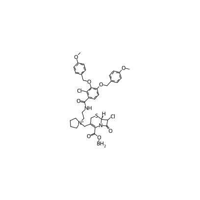 BOC(=O)C1=C(C[N+]2(CCNC(=O)c3ccc(OCc4ccc(OC)cc4)c(OCc4ccc(OC)cc4)c3Cl)CCCC2)CS[C@@H]2C(Cl)C(=O)N12